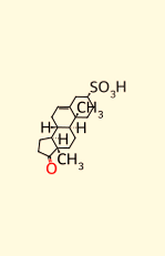 C[C@]12CC[C@H](S(=O)(=O)O)CC1=CC[C@@H]1[C@@H]2CC[C@]2(C)C(=O)CC[C@@H]12